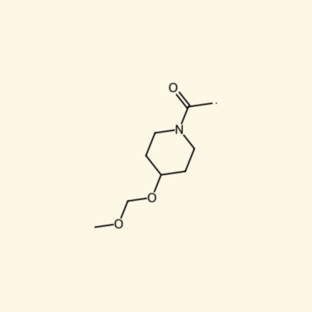 [CH2]C(=O)N1CCC(OCOC)CC1